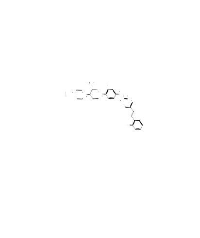 COc1cc(Nc2ncc(CCc3c(F)cccc3F)cn2)ccc1N1CCC(N2CCNCC2)CC1